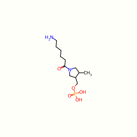 CC1CN(C(=O)CCCCCN)CC1COP(=O)(O)O